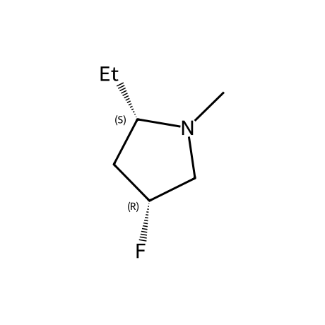 CC[C@H]1C[C@@H](F)CN1C